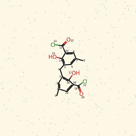 Cc1cc(Cc2cc(C)cc(C(=O)Cl)c2O)c(O)c(C(=O)Cl)c1